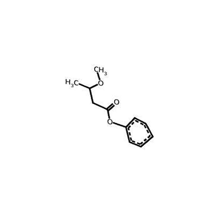 COC(C)CC(=O)Oc1ccccc1